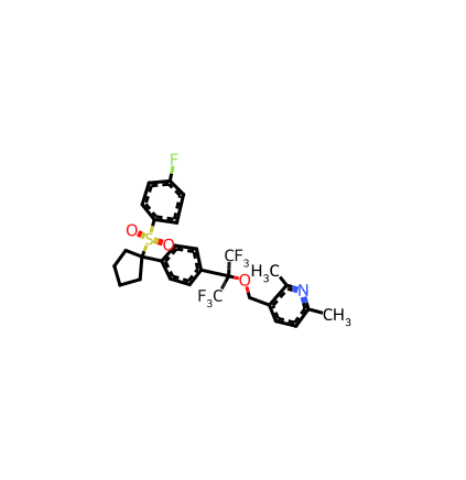 Cc1ccc(COC(c2ccc(C3(S(=O)(=O)c4ccc(F)cc4)CCCC3)cc2)(C(F)(F)F)C(F)(F)F)c(C)n1